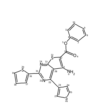 Nc1c(C(=O)Oc2ccccc2)sc2nc(-c3cccs3)nc(-c3ccsc3)c12